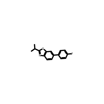 CC(C)c1nc2ccc(-c3ccc(F)cc3)cc2s1